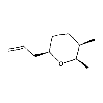 C=CC[C@H]1CC[C@@H](C)[C@@H](C)O1